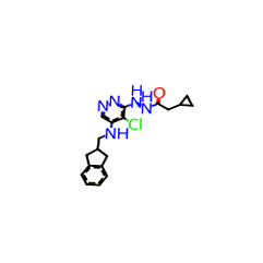 O=C(CC1CC1)NNc1nncc(NCC2Cc3ccccc3C2)c1Cl